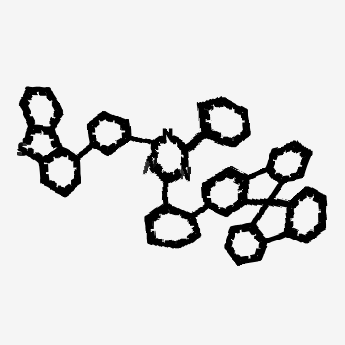 c1ccc(-c2nc(-c3cccc(-c4cccc5sc6ccccc6c45)c3)nc(-c3ccccc3-c3ccc4c(c3)C3(c5ccccc5-c5ccccc53)c3ccccc3-4)n2)cc1